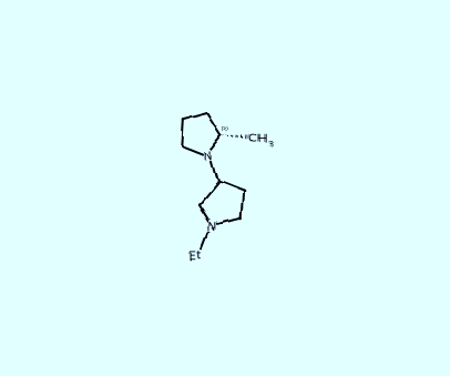 CCN1CCC(N2CCC[C@@H]2C)C1